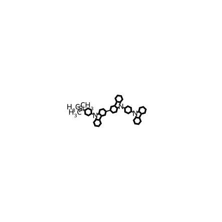 C[Si](C)(C)c1ccc(-n2c3ccccc3c3cc(-c4ccc5c(c4)c4ccccc4n5-c4ccc(-n5c6ccccc6c6ccccc65)cc4)ccc32)cc1